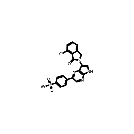 CC(C)S(=O)(=O)c1ccc(-c2cnc3[nH]cc(N4Cc5cccc(Cl)c5C4=O)c3n2)cc1